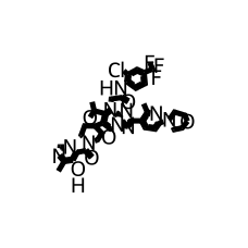 Cc1nc(N2CCOCC2)ccc1-c1nc2n(CC(=O)Nc3ccc(C(F)(F)F)cc3Cl)c3c(c(=O)n2n1)C1(CCN(C(=O)c2ncnc(C)c2O)CC1)OC3C